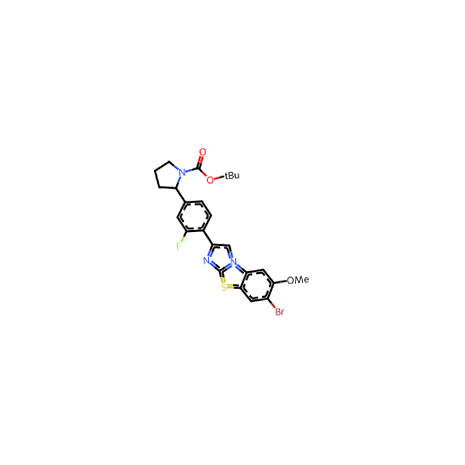 COc1cc2c(cc1Br)sc1nc(-c3ccc(C4CCCN4C(=O)OC(C)(C)C)cc3F)cn12